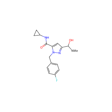 CNC(O)c1cc(C(=O)NC2CC2)n(Cc2ccc(F)cc2)n1